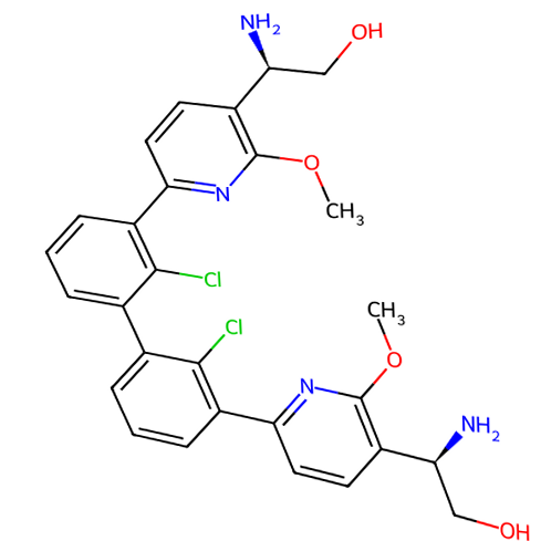 COc1nc(-c2cccc(-c3cccc(-c4ccc([C@@H](N)CO)c(OC)n4)c3Cl)c2Cl)ccc1[C@@H](N)CO